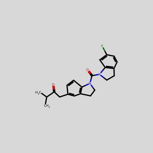 CC(C)C(=O)Cc1ccc2c(c1)CCN2C(=O)N1CCc2ccc(F)cc21